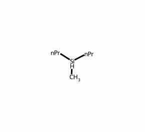 CCC[SiH](C)CCC